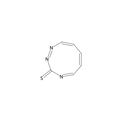 S=C1N=CC=CC=CN=N1